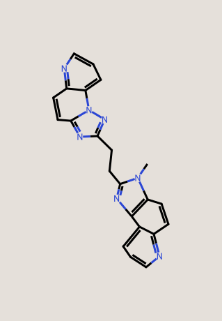 Cn1c(CCc2nc3ccc4ncccc4n3n2)nc2c3cccnc3ccc21